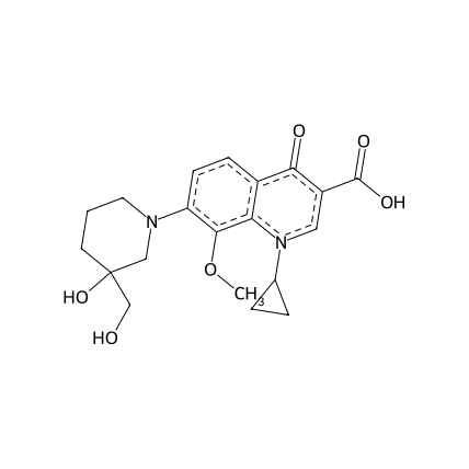 COc1c(N2CCCC(O)(CO)C2)ccc2c(=O)c(C(=O)O)cn(C3CC3)c12